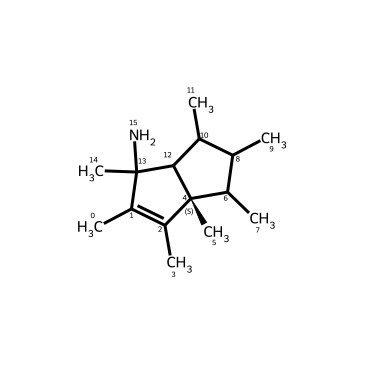 CC1=C(C)[C@@]2(C)C(C)C(C)C(C)C2C1(C)N